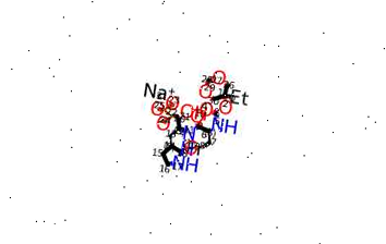 CCC1(OC(=O)N[C@@H](CC(C)C)C(=O)N[C@@H](C[C@@H]2CCNC2=O)C(O)S(=O)(=O)[O-])COCOC1.[Na+]